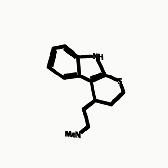 CNCCC1CCSc2[nH]c3ccccc3c21